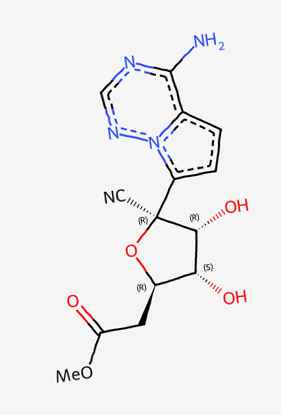 COC(=O)C[C@H]1O[C@@](C#N)(c2ccc3c(N)ncnn23)[C@H](O)[C@@H]1O